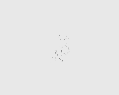 N=C(NO)c1cccc(S(N)(=O)=O)c1